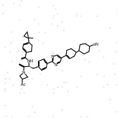 C=C(N[C@@H](Cc1ccc(-c2ncc(C3=CCC(C4CCC(CCC)CC4)CC3)cn2)cc1)C(=C)N1CC(C(C)=O)C1)C1=CC=C(C2(C)CC2)CC1